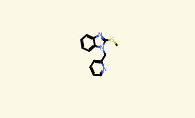 CSc1nc2ccccc2n1Cc1ccccn1